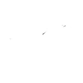 COC(=O)c1ccc([C@H]2CC[C@@](CCCCCl)(C(=O)O)C2)cc1